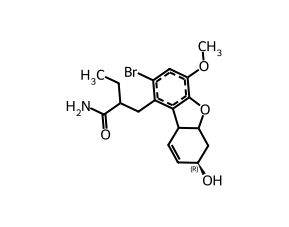 CCC(Cc1c(Br)cc(OC)c2c1C1C=C[C@H](O)CC1O2)C(N)=O